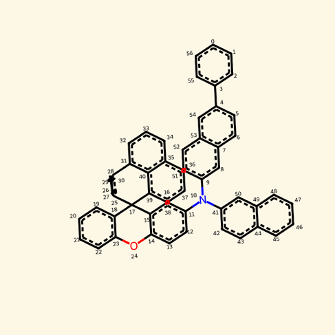 c1ccc(-c2ccc3cc(N(c4ccc5c(c4)C4(c6ccccc6O5)c5ccccc5-c5cccc6cccc4c56)c4ccc5ccccc5c4)ccc3c2)cc1